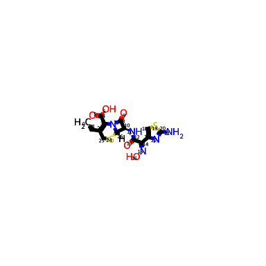 C=CC1=C(C(=O)O)N2C(=O)[C@@H](NC(=O)/C(=N\O)c3csc(N)n3)[C@@H]2SC1